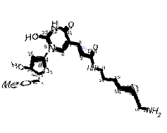 COC[C@H]1O[C@@H](N2C=C(/C=C/C(=O)NCCCCCCN)C(=O)NC2O)CC1O